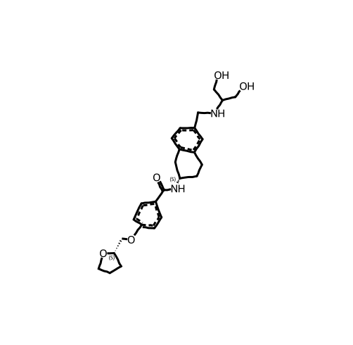 O=C(N[C@H]1CCc2cc(CNC(CO)CO)ccc2C1)c1ccc(OC[C@@H]2CCCO2)cc1